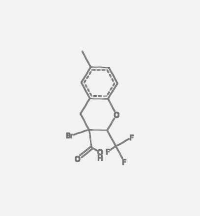 Cc1ccc2c(c1)CC(Br)(C(=O)O)C(C(F)(F)F)O2